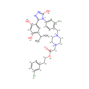 CC(C)c1cc(-c2nnc(O)n2-c2ccc(CN3CCN(CC(=O)OCCc4cccc(Cl)c4)CC3)c(F)c2)c(O)cc1O